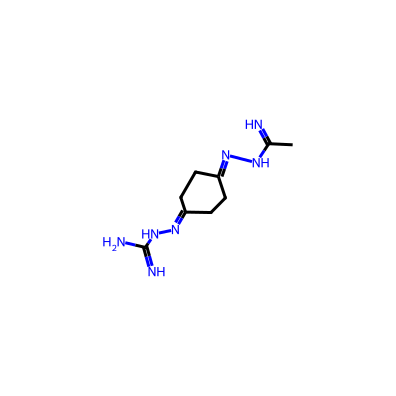 CC(=N)NN=C1CCC(=NNC(=N)N)CC1